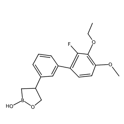 CCOc1c(OC)ccc(-c2cccc(C3COB(O)C3)c2)c1F